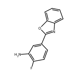 Nc1cc(-c2nc3ccccc3o2)ccc1F